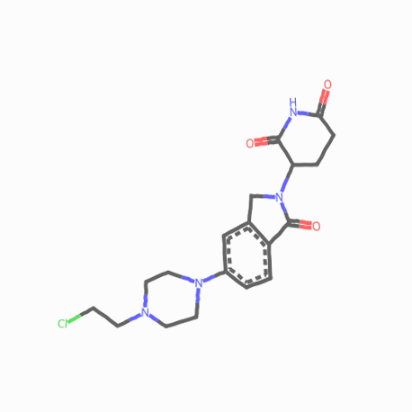 O=C1CCC(N2Cc3cc(N4CCN(CCCl)CC4)ccc3C2=O)C(=O)N1